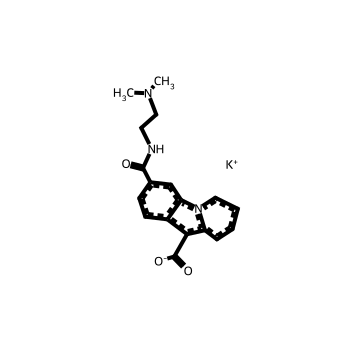 CN(C)CCNC(=O)c1ccc2c(C(=O)[O-])c3ccccn3c2c1.[K+]